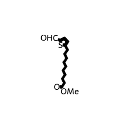 COC(=O)CCCCCCCCCc1ccc(C=O)s1